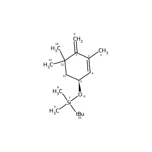 C=C1C(C)=C[C@@H](O[Si](C)(C)C(C)(C)C)CC1(C)C